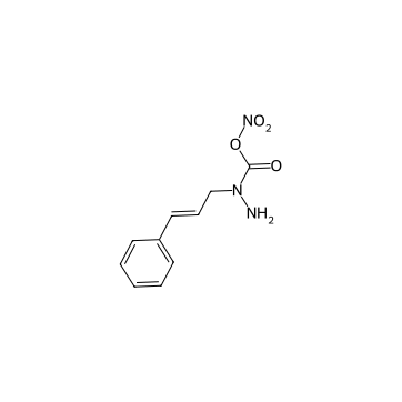 NN(CC=Cc1ccccc1)C(=O)O[N+](=O)[O-]